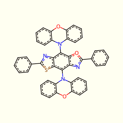 c1ccc(-c2nc3c(N4c5ccccc5Oc5ccccc54)c4sc(-c5ccccc5)nc4c(N4c5ccccc5Oc5ccccc54)c3o2)cc1